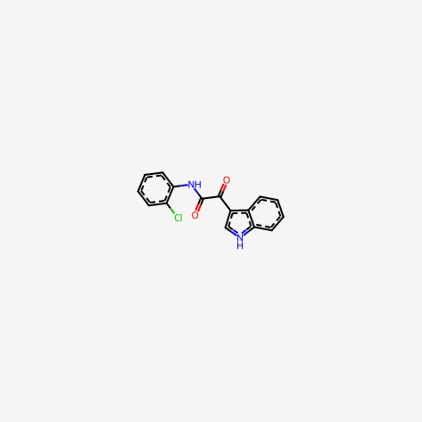 O=C(Nc1ccccc1Cl)C(=O)c1c[nH]c2ccccc12